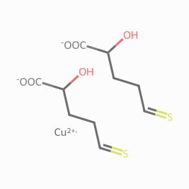 O=C([O-])C(O)CCC=S.O=C([O-])C(O)CCC=S.[Cu+2]